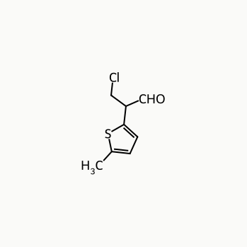 Cc1ccc(C(C=O)CCl)s1